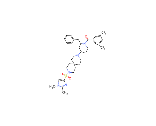 Cc1nc(S(=O)(=O)N2CCC3(CCN(C4CCN(C(=O)c5cc(C(F)(F)F)cc(C(F)(F)F)c5)C(Cc5ccccc5)C4)CC3)CC2)cn1C